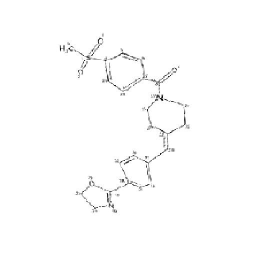 CS(=O)(=O)c1ccc(C(=O)N2CCC(=Cc3ccc(C4=NCCO4)cc3)CC2)cc1